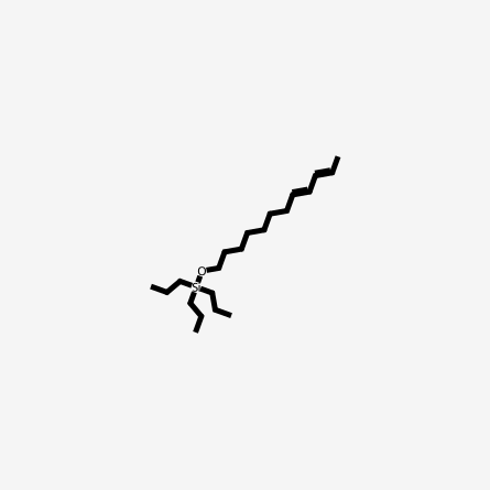 CC=CC=CCCCCCCCO[Si](CCC)(CCC)CCC